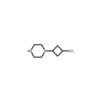 CC1CC(N2CCNCC2)C1